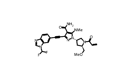 C=CC(=O)N1C[C@@H](n2nc(C#Cc3ccc4ncn(C(F)F)c4c3)c(C(N)=O)c2NC)C[C@@H]1COC